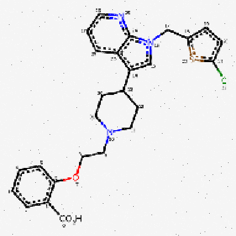 O=C(O)c1ccccc1OCCN1CCC(c2cn(Cc3ccc(Cl)s3)c3ncccc23)CC1